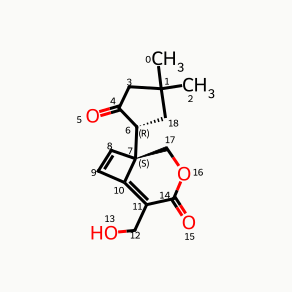 CC1(C)CC(=O)[C@@H]([C@@]23C=CC2=C(CO)C(=O)OC3)C1